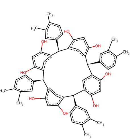 Cc1ccc([C@H]2c3cc(c(O)cc3O)[C@@H](c3ccc(C)c(C)c3)c3cc(c(O)cc3O)[C@@H](c3ccc(C)c(C)c3)c3cc(c(O)cc3O)[C@@H](c3ccc(C)c(C)c3)c3cc2c(O)cc3O)cc1C